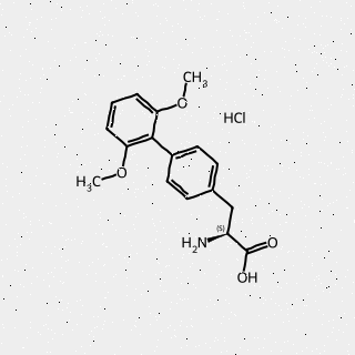 COc1cccc(OC)c1-c1ccc(C[C@H](N)C(=O)O)cc1.Cl